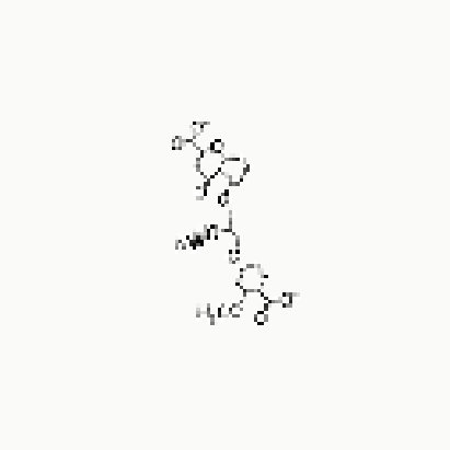 COc1cc(OCC(O)COc2cccc3oc(C(=O)[O-])cc(=O)c23)ccc1C(=O)[O-].[Na+].[Na+]